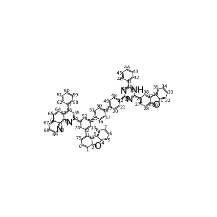 C1=CC2Oc3ccccc3C2C(c2cc(-c3ccc(-c4ccc(C5=NC(c6ccc7oc8ccccc8c7c6)NC(c6ccccc6)=N5)cc4)cc3)cc(-c3cc(-c4ccccc4)c4ccc5cccnc5c4n3)c2)=C1